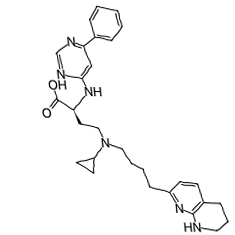 O=C(O)[C@H](CCN(CCCCc1ccc2c(n1)NCCC2)C1CC1)Nc1cc(-c2ccccc2)ncn1